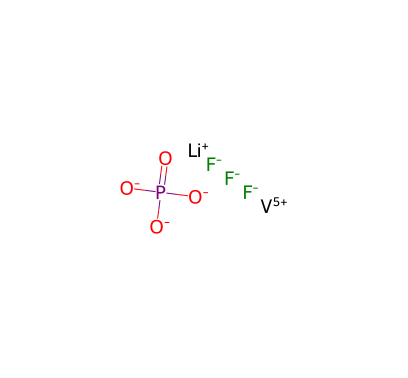 O=P([O-])([O-])[O-].[F-].[F-].[F-].[Li+].[V+5]